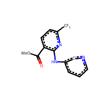 COC(=O)c1ccc(C(F)(F)F)nc1Nc1cccnc1